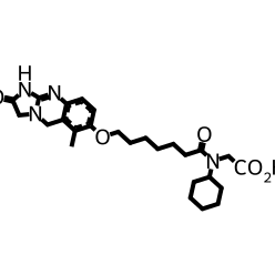 Cc1c(OCCCCCCC(=O)N(CC(=O)O)C2CCCCC2)ccc2c1CN1CC(=O)NC1=N2